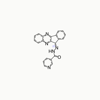 O=C(N/N=C1/c2ccccc2-c2nc3ccccc3nc21)c1cccnc1